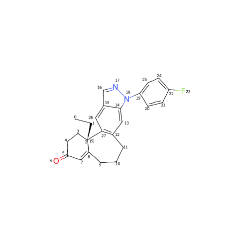 CC[C@]12CCC(=O)C=C1CCCc1cc3c(cnn3-c3ccc(F)cc3)cc12